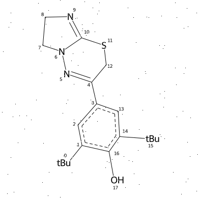 CC(C)(C)c1cc(C2=NN3CCN=C3SC2)cc(C(C)(C)C)c1O